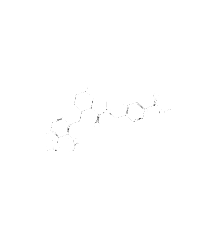 COC(=O)c1ccc(CNC(=O)C2CCCCC2Cc2cccc(OC)c2OC)cc1